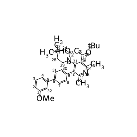 COc1cccc(-c2ccc(-c3c(C)nc(C)c([C@H](OC(C)(C)C)C(=O)O)c3N3CCC(C)(C)CC3)cc2)c1